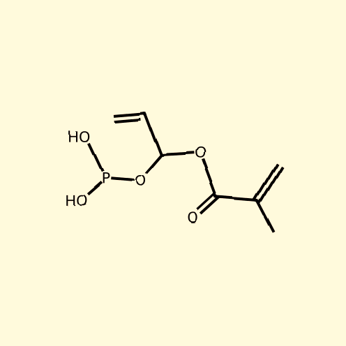 C=CC(OC(=O)C(=C)C)OP(O)O